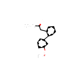 CNC(=O)Cc1ccccc1-c1cccc(OC(F)(F)F)c1